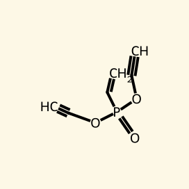 C#COP(=O)(C=C)OC#C